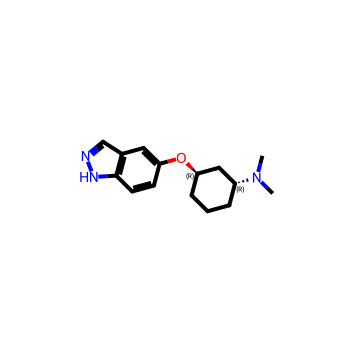 CN(C)[C@@H]1CCC[C@@H](Oc2ccc3[nH]ncc3c2)C1